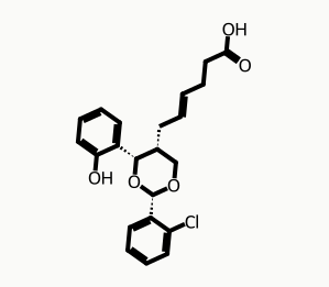 O=C(O)CC/C=C/C[C@@H]1CO[C@H](c2ccccc2Cl)O[C@@H]1c1ccccc1O